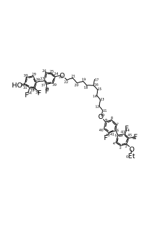 CCOc1ccc(-c2ccc(OCCCCCC(C)CCCCCOc3ccc(-c4ccc(O)c(F)c4F)c(F)c3)cc2F)c(F)c1F